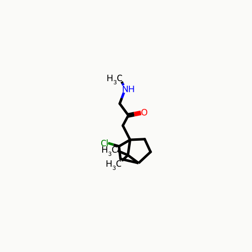 CNCC(=O)CC12CCC(CC1Cl)C2(C)C